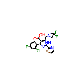 O=C(O)C1=C(CN2CC(F)(F)C2)NC(c2nccs2)=NC1c1ccc(F)cc1Cl